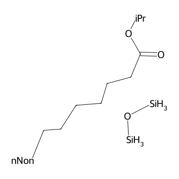 CCCCCCCCCCCCCCCC(=O)OC(C)C.[SiH3]O[SiH3]